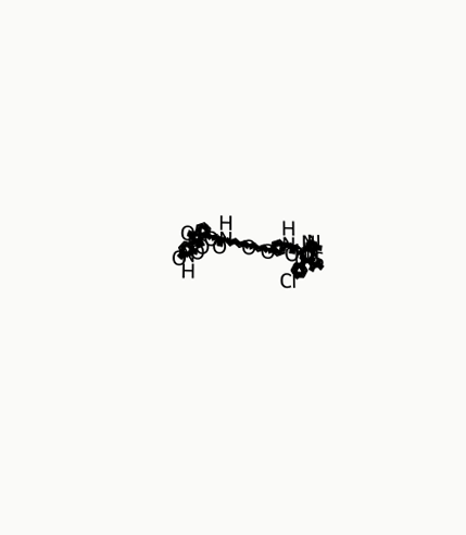 Cc1sc2c(c1C)C(c1ccc(Cl)cc1)=N[C@@H](CC(=O)Nc1ccc(OCCCOCCCCNC(=O)COc3cccc4c3C(=O)N(C3CCC(=O)NC3=O)C4=O)cc1)c1nnc(C)n1-2